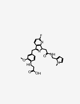 COc1cc(CC2=NC(CC(=O)NCc3cccn3C)c3nc(F)ccc32)ccc1NCC(=O)O